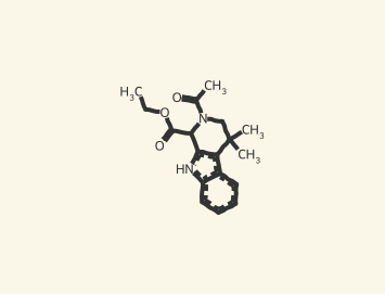 CCOC(=O)C1c2[nH]c3ccccc3c2C(C)(C)CN1C(C)=O